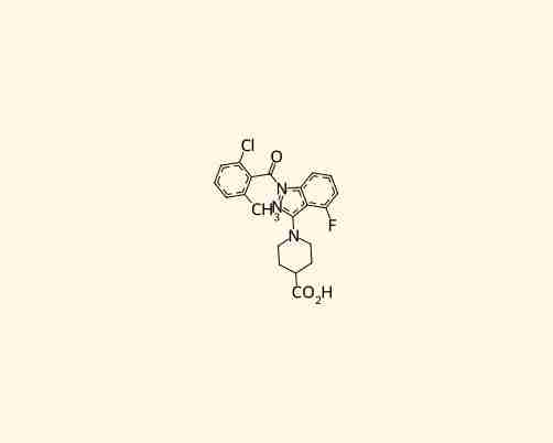 Cc1cccc(Cl)c1C(=O)n1nc(N2CCC(C(=O)O)CC2)c2c(F)cccc21